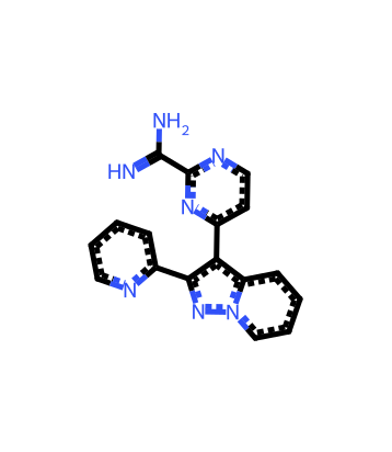 N=C(N)c1nccc(-c2c(-c3ccccn3)nn3ccccc23)n1